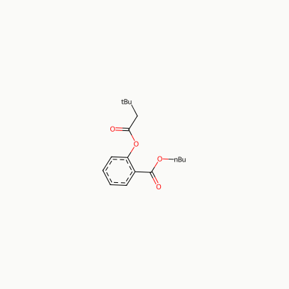 CCCCOC(=O)c1ccccc1OC(=O)CC(C)(C)C